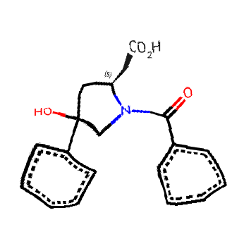 O=C(O)[C@@H]1CC(O)(c2ccccc2)CN1C(=O)c1ccccc1